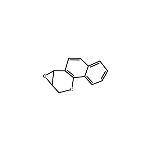 c1ccc2c3c(ccc2c1)C1OC1CO3